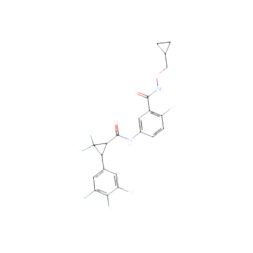 O=C(NOCC1CC1)c1cc(NC(=O)C2C(c3cc(Cl)c(Cl)c(Cl)c3)C2(Cl)Cl)ccc1Cl